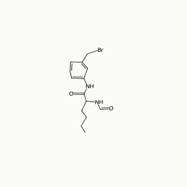 CCCCC(NC=O)C(=O)Nc1cccc(CBr)c1